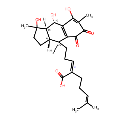 CC(C)=CCC/C(=C/CC[C@]1(C)C2=C(C(O)=C(C)C(=O)C2=O)[C@@H](O)[C@H]2[C@H]1CCC2(C)O)C(=O)O